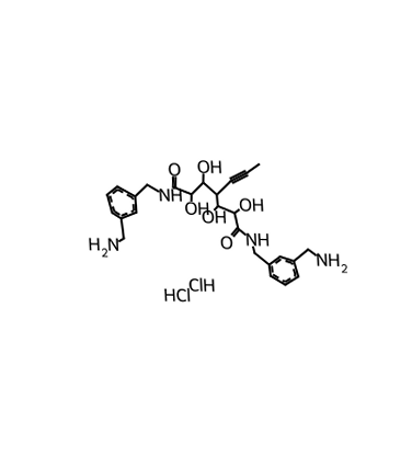 CC#CC(C(O)C(O)C(=O)NCc1cccc(CN)c1)C(O)C(O)C(=O)NCc1cccc(CN)c1.Cl.Cl